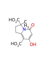 CC1(C(=O)O)CCc2c(C(=O)O)c(O)cc(=O)n21